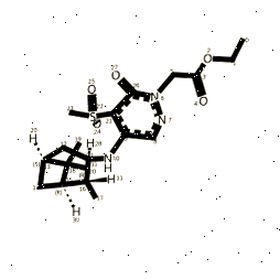 CCOC(=O)Cn1ncc(N[C@@H]2C[C@@H]3C[C@H]([C@H]2C)C3(C)C)c(S(C)(=O)=O)c1=O